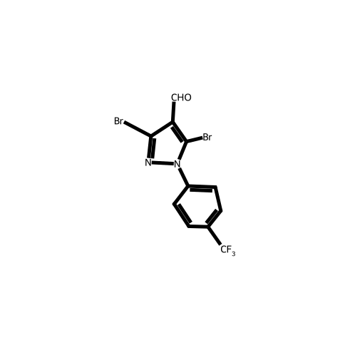 O=Cc1c(Br)nn(-c2ccc(C(F)(F)F)cc2)c1Br